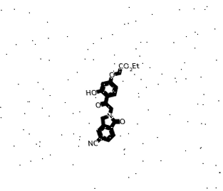 CCOC(=O)COc1ccc(C(=O)CN2Cc3cc(C#N)ccc3C2=O)c(O)c1